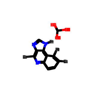 CCc1ccc2nc(CC)c3ncn(CC)c3c2c1CC.OC(O)O